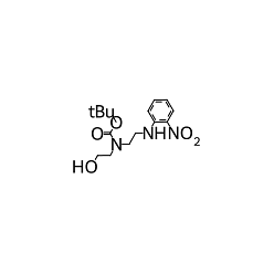 CC(C)(C)OC(=O)N(CCO)CCNc1ccccc1[N+](=O)[O-]